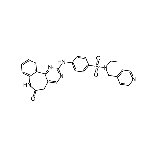 CCN(Cc1ccncc1)S(=O)(=O)c1ccc(Nc2ncc3c(n2)-c2ccccc2NC(=O)C3)cc1